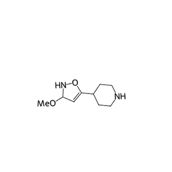 COC1C=C(C2CCNCC2)ON1